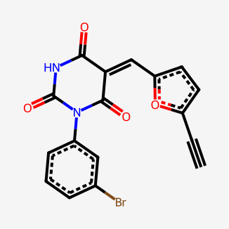 C#Cc1ccc(C=C2C(=O)NC(=O)N(c3cccc(Br)c3)C2=O)o1